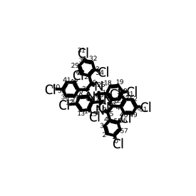 Clc1ccc(C2=NC(c3ccc(Cl)cc3Cl)(C3(c4ccc(Cl)cc4Cl)N=C(c4ccc(Cl)cc4Cl)C(c4ccc(Cl)cc4Cl)=N3)N=C2c2ccc(Cl)cc2Cl)c(Cl)c1